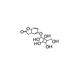 O=C1CC2C=C(OC(O)C3(O)C(O)C(O)C3CO)C=CC2O1